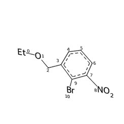 CCOCc1cccc([N+](=O)[O-])c1Br